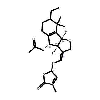 CCC1CCC2=C([C@H]3OC/C(=C/O[C@H]4C=C(C)C(=O)O4)[C@H]3[C@@H]2OC(C)=O)C1(C)C